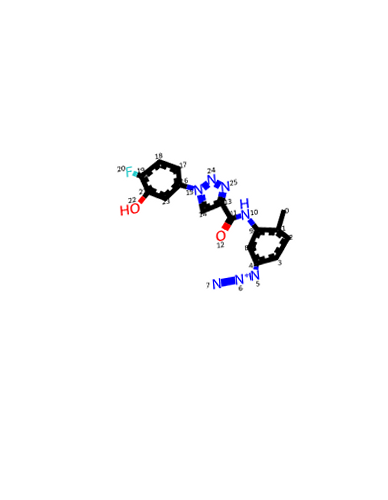 Cc1ccc(N=[N+]=[N-])cc1NC(=O)c1cn(-c2ccc(F)c(O)c2)nn1